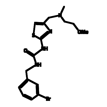 COCCN(C)Cc1csc(NC(=O)NCc2cccc(Br)c2)n1